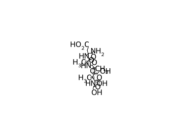 C[C@@H]1C(NC(=O)CO)[C@@H](O)OC(CO)[C@H]1O[C@H](C)C(=O)N[C@H](C)C(=O)NC(CCC(=O)O)C(N)=O